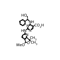 COC1OC(C)(C)c2nc(Nc3ncc(C(=O)O)c(N[C@H](CO)c4ccccc4)n3)ccc21